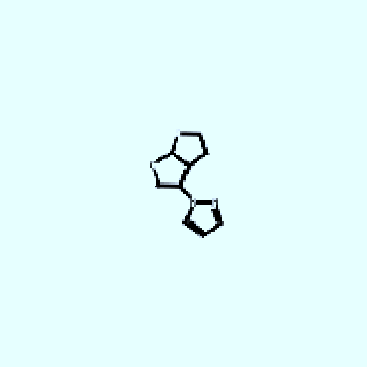 [c]1cnn(C2COC3OCCC32)c1